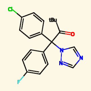 CC(C)(C)C(=O)C(c1ccc(F)cc1)(c1ccc(Cl)cc1)n1cncn1